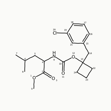 COC(=O)C(CC(C)C)NC(=O)OC1(Cc2cccc(Cl)c2)CCC1